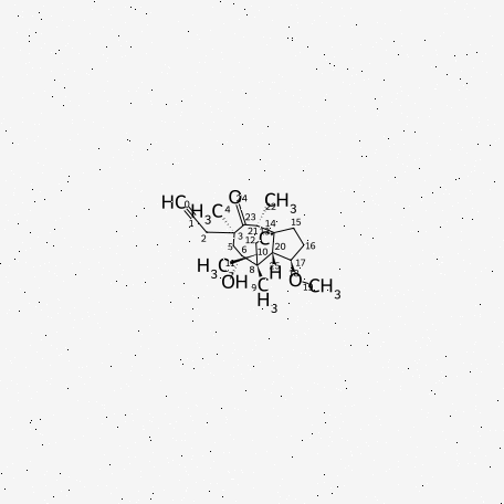 C#CC[C@]1(C)C[C@@H](O)[C@]2(C)[C@H](C)CC[C@]3(CC[C@@H](OC)[C@@H]32)[C@@H](C)C1=O